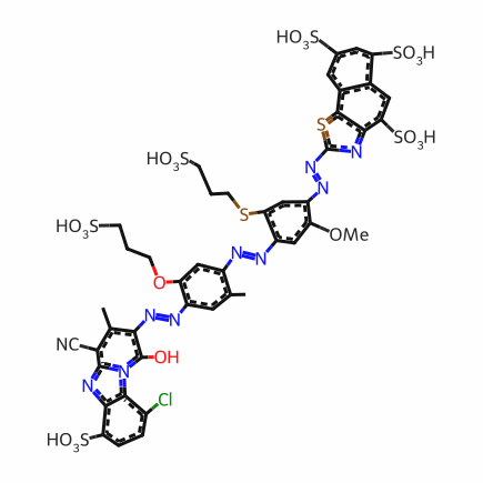 COc1cc(N=Nc2cc(OCCCS(=O)(=O)O)c(N=Nc3c(C)c(C#N)c4nc5c(S(=O)(=O)O)ccc(Cl)c5n4c3O)cc2C)c(SCCCS(=O)(=O)O)cc1N=Nc1nc2c(S(=O)(=O)O)cc3c(S(=O)(=O)O)cc(S(=O)(=O)O)cc3c2s1